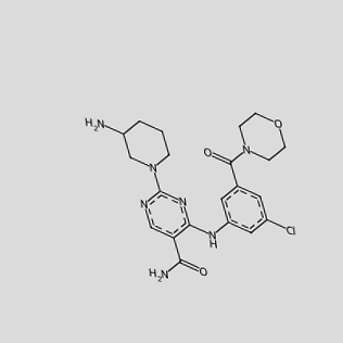 NC(=O)c1cnc(N2CCCC(N)C2)nc1Nc1cc(Cl)cc(C(=O)N2CCOCC2)c1